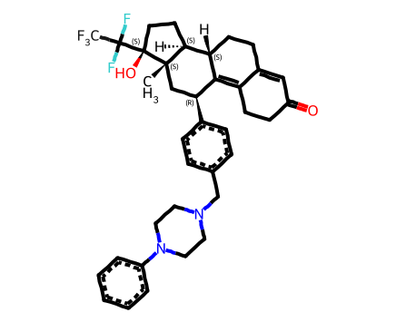 C[C@]12C[C@H](c3ccc(CN4CCN(c5ccccc5)CC4)cc3)C3=C4CCC(=O)C=C4CC[C@H]3[C@@H]1CC[C@@]2(O)C(F)(F)C(F)(F)F